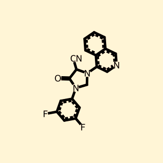 N#CC1C(=O)N(c2cc(F)cc(F)c2)CN1c1cncc2ccccc12